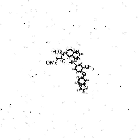 COCC(=O)N(C)c1ccc2ncnc(Nc3ccc(Oc4ccn5ccnc5c4)c(C)c3)c2c1